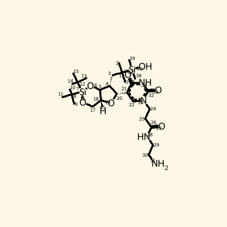 CC(C)(C[C@H]1C2O[Si](C(C)(C)C)(C(C)(C)C)OC[C@H]2O[C@H]1c1cn(CCC(=O)NCCN)c(=O)[nH]c1=O)[Si](C)(C)O